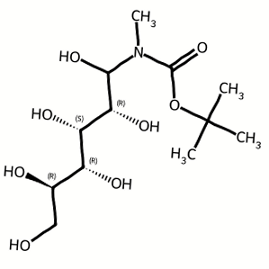 CN(C(=O)OC(C)(C)C)C(O)[C@H](O)[C@@H](O)[C@H](O)[C@H](O)CO